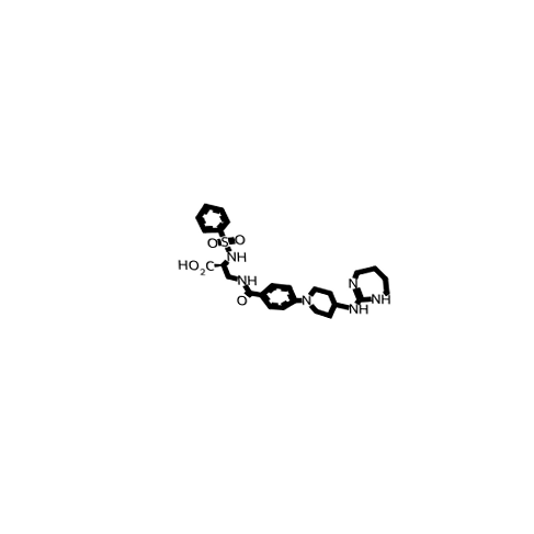 O=C(NC[C@H](NS(=O)(=O)c1ccccc1)C(=O)O)c1ccc(N2CCC(NC3=NCCCCN3)CC2)cc1